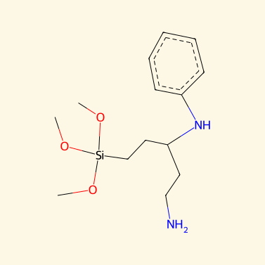 CO[Si](CCC(CCN)Nc1ccccc1)(OC)OC